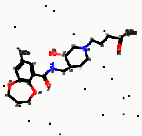 CNc1cc2c(c(C(=O)NC[C@@H]3CCN(CCCC(=O)OC)C[C@H]3O)c1)OCCCO2